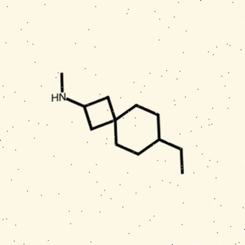 CCC1CCC2(CC1)CC(NC)C2